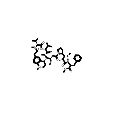 CCC(C)[C@@H]([C@@H](CC(=O)N1CCC[C@H]1[C@H](OC)[C@@H](C)C(=O)N[C@@H](Cc1ccccc1)C(=O)OC)OC)N(C)C(=O)[C@@H](NC(=O)[C@H](C(C)C)N(C)CCc1ccc(NC)cc1)C(C)C